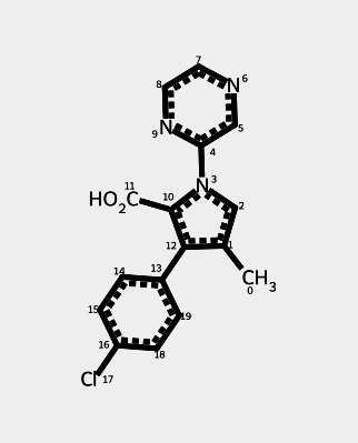 Cc1cn(-c2cnccn2)c(C(=O)O)c1-c1ccc(Cl)cc1